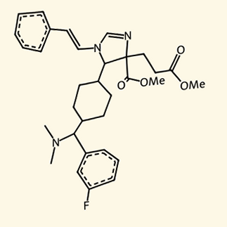 COC(=O)CCC1(C(=O)OC)N=CN(C=Cc2ccccc2)C1C1CCC(C(c2cccc(F)c2)N(C)C)CC1